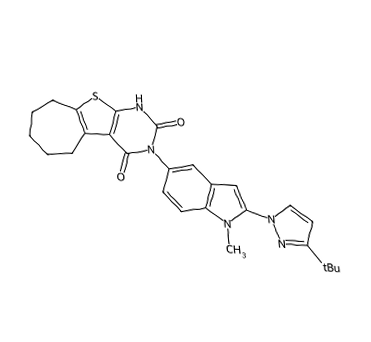 Cn1c(-n2ccc(C(C)(C)C)n2)cc2cc(-n3c(=O)[nH]c4sc5c(c4c3=O)CCCCC5)ccc21